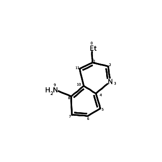 CCc1cnc2cccc(N)c2c1